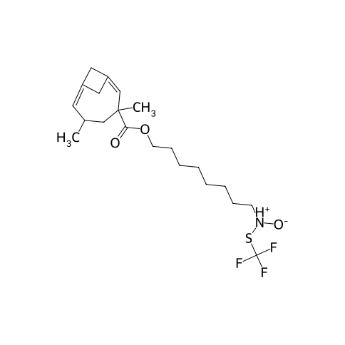 CC1C=C2CC(=CC(C)(C(=O)OCCCCCCCC[NH+]([O-])SC(F)(F)F)C1)C2